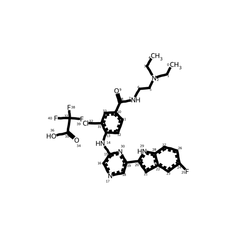 CCN(CC)CCNC(=O)c1ccc(Nc2cncc(-c3cc4cc(F)ccc4[nH]3)n2)c(Cl)c1.O=C(O)C(F)(F)F